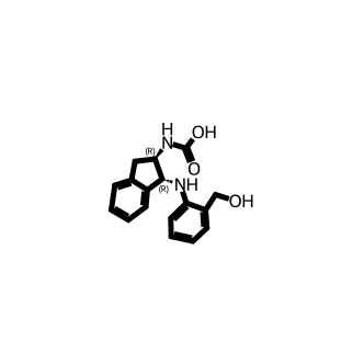 O=C(O)N[C@@H]1Cc2ccccc2[C@H]1Nc1ccccc1CO